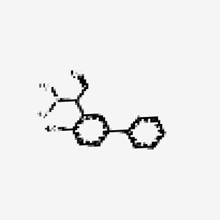 C=CC(c1cc(-c2ccccc2)ccc1C)N(C)C